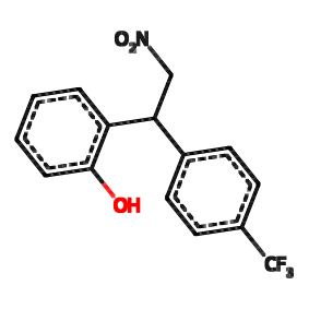 O=[N+]([O-])CC(c1ccc(C(F)(F)F)cc1)c1ccccc1O